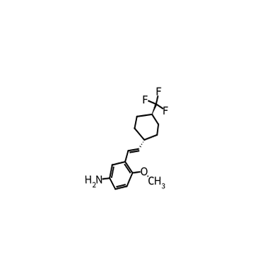 COc1ccc(N)cc1/C=C/[C@H]1CC[C@H](C(F)(F)F)CC1